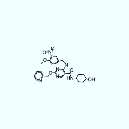 COc1ccc(CN(C)c2nc(OCc3ccccn3)ncc2C(=O)N[C@H]2CC[C@H](O)CC2)cc1[N+](=O)[O-]